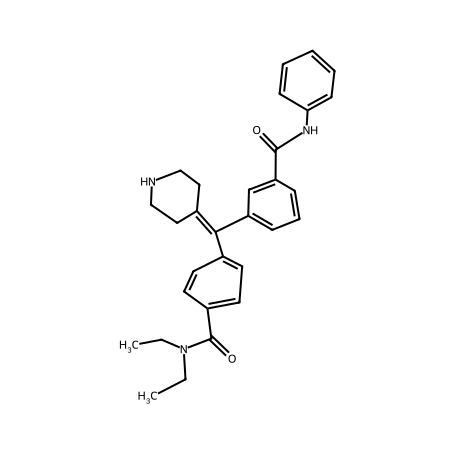 CCN(CC)C(=O)c1ccc(C(=C2CCNCC2)c2cccc(C(=O)Nc3ccccc3)c2)cc1